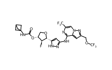 O=C(NC12CC(C1)C2)O[C@@H]1CO[C@H](c2cc(Nc3nc(C(F)(F)F)cn4nc(COC(F)(F)F)cc34)n[nH]2)[C@H]1F